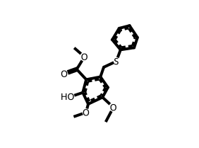 COC(=O)c1c(CSc2ccccc2)cc(OC)c(OC)c1O